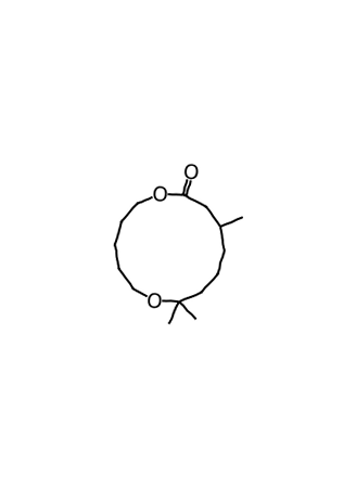 CC1CCCC(C)(C)OCCCCCOC(=O)C1